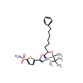 CC(C)(C)[Si](C)(C)OC(CCCCCCc1ccccc1)c1ncc(-c2ccc(S(N)(=O)=O)s2)o1